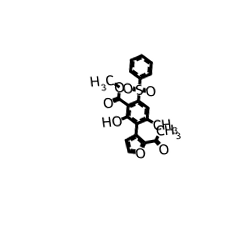 COC(=O)c1c(S(=O)(=O)c2ccccc2)cc(C)c(-c2ccoc2C(C)=O)c1O